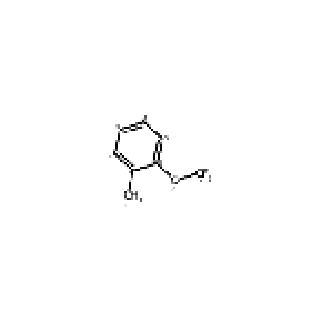 Cc1cc[c]cc1OC(F)(F)F